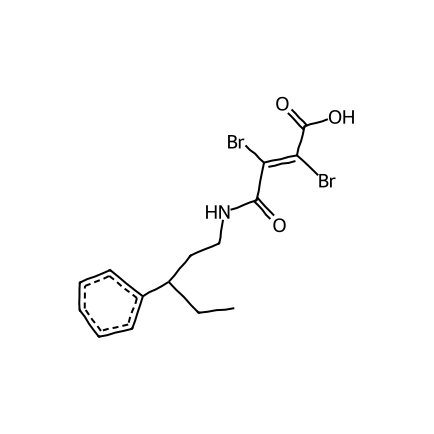 CCC(CCNC(=O)C(Br)=C(Br)C(=O)O)c1ccccc1